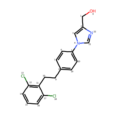 OCc1cn(-c2ccc(CCc3c(Cl)cccc3Cl)cc2)cn1